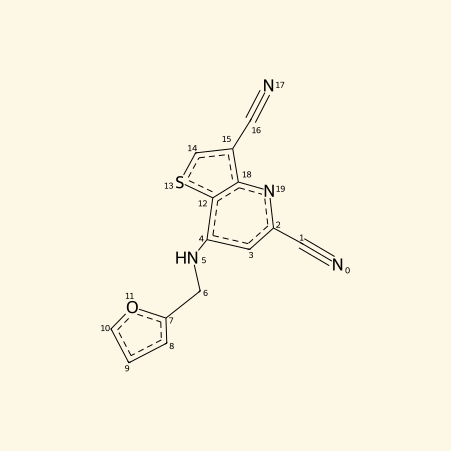 N#Cc1cc(NCc2ccco2)c2scc(C#N)c2n1